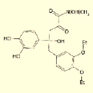 CCOc1ccc(CC(O)(CC(=O)C(=O)N(C)O)c2ccc(O)c(O)c2)cc1OCC